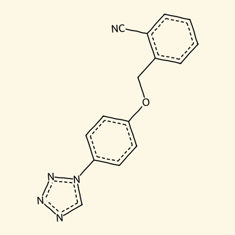 N#Cc1ccccc1COc1ccc(-n2cnnn2)cc1